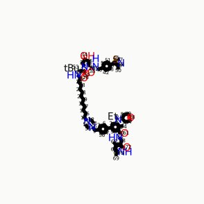 CCN(c1cc(-c2ccc(CN3CCN(CCCCCCCCCCCC(=O)N[C@H](C(=O)N4C[C@@H](O)C[C@H]4C(=O)NCc4ccc(-c5scnc5C)cc4)C(C)(C)C)CC3)cc2)cc(C(=O)NCc2c(C)cc(C)[nH]c2=O)c1C)C1CCOCC1